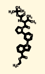 CCOC(=O)c1cccc2c1ccn2-c1cncc(C2CCCN2C(=O)C(NC(=O)OC(C)(C)C)C(C)C)c1